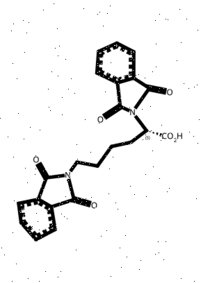 O=C(O)[C@H](CCCCN1C(=O)c2ccccc2C1=O)N1C(=O)c2ccccc2C1=O